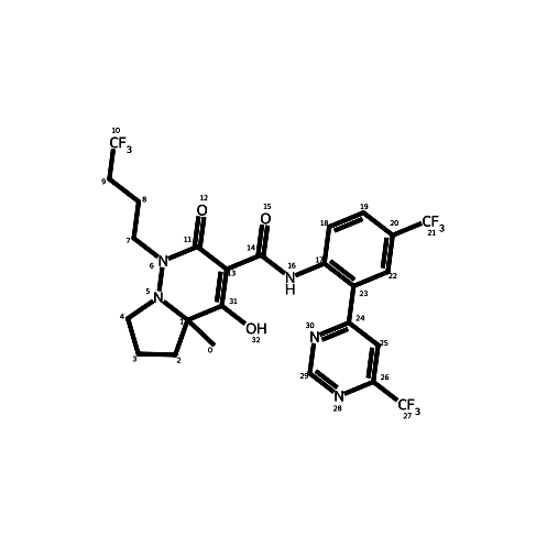 CC12CCCN1N(CCCC(F)(F)F)C(=O)C(C(=O)Nc1ccc(C(F)(F)F)cc1-c1cc(C(F)(F)F)ncn1)=C2O